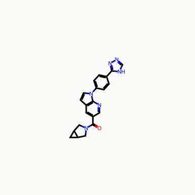 O=C(c1cnc2c(ccn2-c2ccc(-c3nnc[nH]3)cc2)c1)N1CC2CC2C1